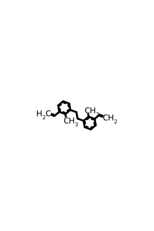 C=Cc1cccc(CCc2cccc(C=C)c2C)c1C